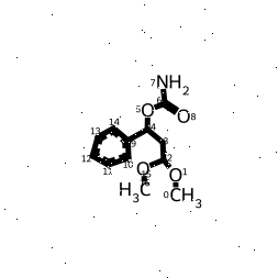 COC(CC(OC(N)=O)c1ccccc1)OC